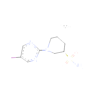 CO[C@@H]1C[C@@H](S(N)(=O)=O)CN(c2ncc(I)cn2)C1